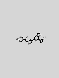 C[C@H]1CCN1c1nc(-c2cnn(CC(=O)N3CCNCC3)c2)cn2ccnc12